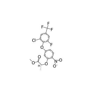 COC(=O)[C@@H](C)Oc1cc(Oc2c(F)cc(C(F)(F)F)cc2Cl)ccc1[N+](=O)[O-]